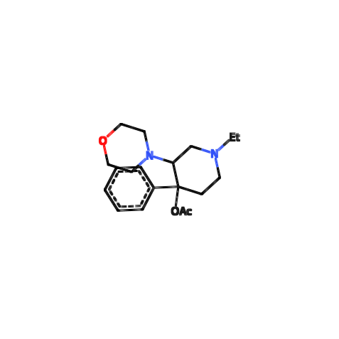 CCN1CCC(OC(C)=O)(c2ccccc2)C(N2CCOCC2)C1